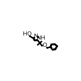 CC(C)(COCc1ccccc1)c1cc(CO)n[nH]1